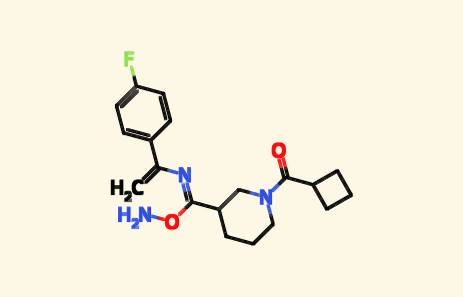 C=C(/N=C(\ON)C1CCCN(C(=O)C2CCC2)C1)c1ccc(F)cc1